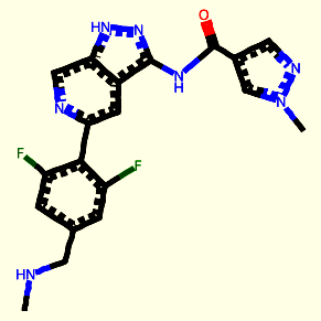 CNCc1cc(F)c(-c2cc3c(NC(=O)c4cnn(C)c4)n[nH]c3cn2)c(F)c1